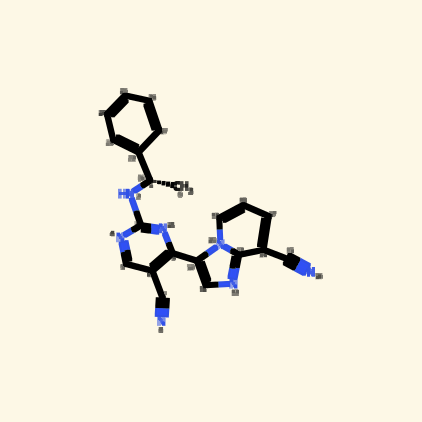 C[C@H](Nc1ncc(C#N)c(-c2cnc3c(C#N)cccn23)n1)c1ccccc1